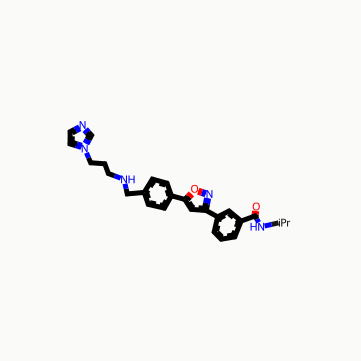 CC(C)NC(=O)c1cccc(-c2cc(-c3ccc(CNCCCn4ccnc4)cc3)on2)c1